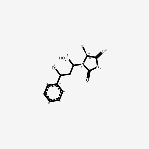 CCC(CC(C(=O)O)N1C(=O)OC(=O)[C@@H]1C)c1ccccc1